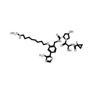 Cc1ncsc1-c1ccc(CNC(=O)[C@@H]2C[C@@H](O)CN2C(=O)C(NC(=O)C2(F)CC2)C(C)(C)C)c(OCCCCCCCCNC(=O)O)c1